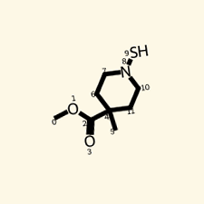 COC(=O)C1(C)CCN(S)CC1